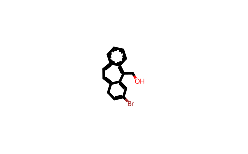 OCC1=c2ccccc2=CC=C2CC=C(Br)C=C21